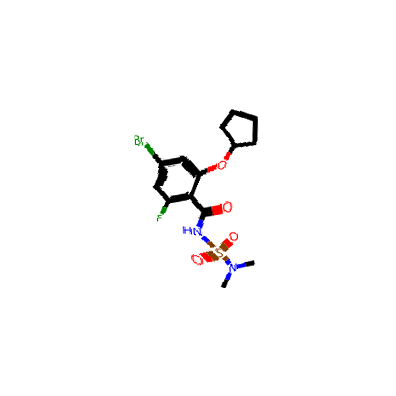 CN(C)S(=O)(=O)NC(=O)c1c(F)cc(Br)cc1OC1CCCC1